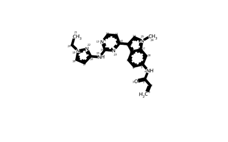 C=CC(=O)Nc1ccc2c(-c3ccnc(Nc4ccn(CC)n4)n3)cn(C)c2c1